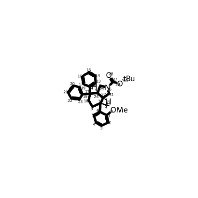 COc1ccccc1[C@]1(F)CCC(c2ccccc2)(c2ccccc2)[C@H]2CN(C(=O)OC(C)(C)C)C[C@H]21